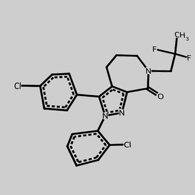 CC(F)(F)CN1CCCc2c(nn(-c3ccccc3Cl)c2-c2ccc(Cl)cc2)C1=O